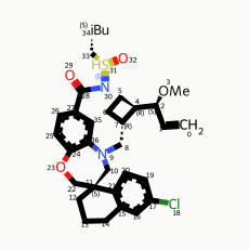 C=C[C@H](OC)[C@@H]1CC[C@H]1CN1C[C@@]2(CCCc3cc(Cl)ccc32)COc2ccc(C(=O)/N=[SH](=O)\C[C@@H](C)CC)cc21